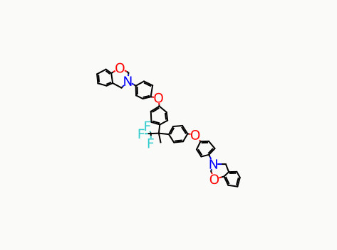 CC(c1ccc(Oc2ccc(N3COc4ccccc4C3)cc2)cc1)(c1ccc(Oc2ccc(N3COc4ccccc4C3)cc2)cc1)C(F)(F)F